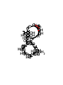 CCC(=O)c1c2c(C)c(O)c3c(O)c(c(NC(C)C(=O)NCC4NC(=O)C(C(=O)O)NC(=O)C(O)CNC(=O)C(C(C)O)NC(=O)C(C(O)C(O)C(N)=O)NC(=O)C(C(C)C)CC(=O)C(CO)NC4=O)c(O)c13)NC(=O)/C(C)=C\C=C\[C@H](C)[C@H](O)[C@@H](C)[C@@H](O)[C@@H](C)[C@H](OC(C)=O)[C@H](C)[C@@H](OC)/C=C/OCO2